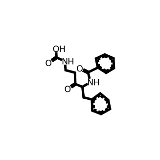 O=C(O)NCCC(=O)C(Cc1ccccc1)NC(=O)c1ccccc1